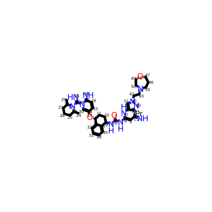 CC(C)C(=N)/C=C(/NC(=O)NC1CC[C@@H](Oc2ccc(=N)n(C(=N)N3C(C)CCCC3C)c2)c2ccccc21)Nc1cnn(CCN2CCCOCC2)c1